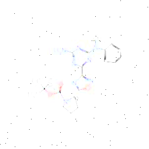 CN(c1ccccc1)c1nc(N)nc(-c2noc([C@@H]3CCCN3C(=O)OC(C)(C)C)n2)n1